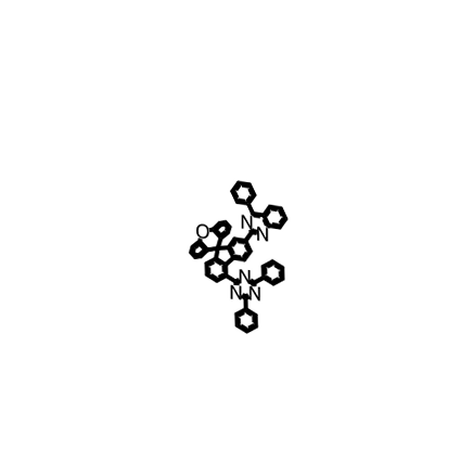 c1ccc(-c2nc(-c3ccccc3)nc(-c3cccc4c3-c3ccc(-c5nc(-c6ccccc6)c6ccccc6n5)cc3C43c4ccccc4Oc4ccccc43)n2)cc1